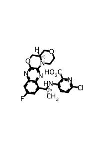 C[C@@H](Nc1ccc(Cl)nc1C(=O)O)c1cc(F)cc2nc3c(nc12)N1CCOC[C@H]1CO3